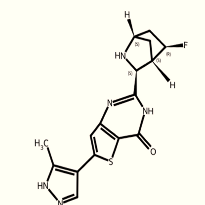 Cc1[nH]ncc1-c1cc2nc([C@H]3N[C@H]4C[C@@H]3[C@H](F)C4)[nH]c(=O)c2s1